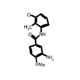 COc1ccc(C(=O)Nc2cccc(Cl)c2C)cc1N